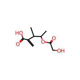 C=C(C(=O)O)C(C)C(C)OC(=O)CO